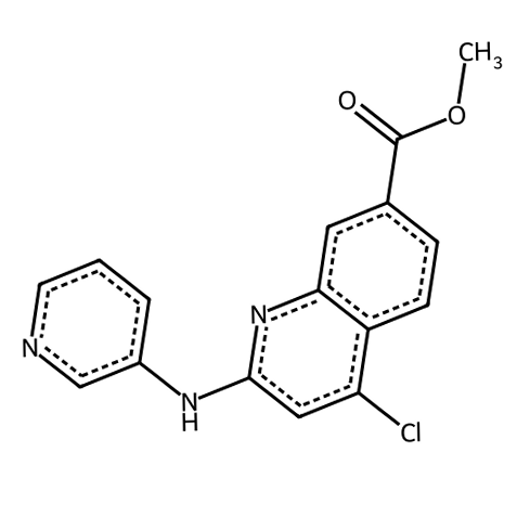 COC(=O)c1ccc2c(Cl)cc(Nc3cccnc3)nc2c1